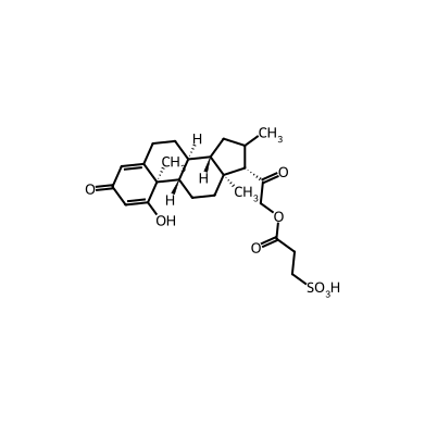 CC1C[C@H]2[C@@H]3CCC4=CC(=O)C=C(O)[C@]4(C)[C@H]3CC[C@]2(C)[C@H]1C(=O)COC(=O)CCS(=O)(=O)O